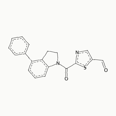 O=Cc1cnc(C(=O)N2CCc3c(-c4ccccc4)cccc32)s1